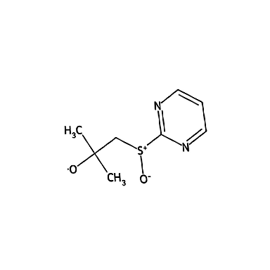 CC(C)([O])C[S+]([O-])c1ncccn1